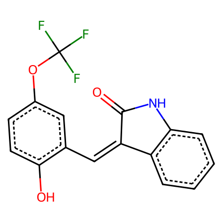 O=C1Nc2ccccc2C1=Cc1cc(OC(F)(F)F)ccc1O